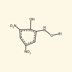 CCONc1cc([N+](=O)[O-])cc([N+](=O)[O-])c1O